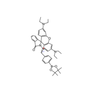 CCN(CC)c1ccc2c(c1)Oc1cc(N(CC)CC)ccc1C21c2ccccc2C(=O)N1/N=C/c1ccc(B2OC(C)(C)C(C)(C)O2)cc1